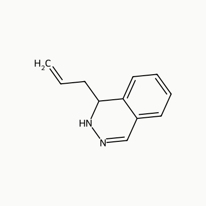 C=CCC1NN=Cc2ccccc21